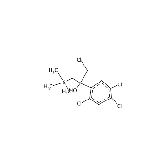 C[Si](C)(C)CC(O)(CCl)c1cc(Cl)c(Cl)cc1Cl